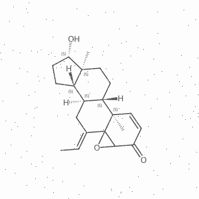 CC=C1C[C@H]2[C@@H]3CC[C@H](O)[C@@]3(C)CC[C@@H]2[C@@]2(C)C=CC(=O)C3OC132